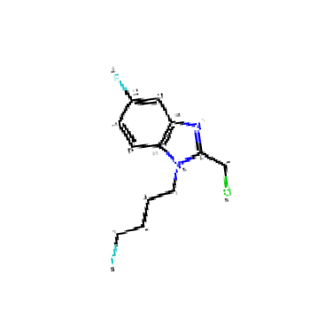 FCCCCn1c(CCl)nc2cc(F)ccc21